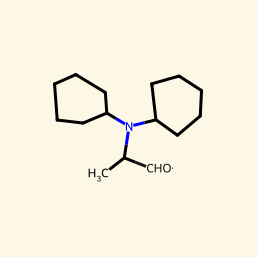 CC([C]=O)N(C1CCCCC1)C1CCCCC1